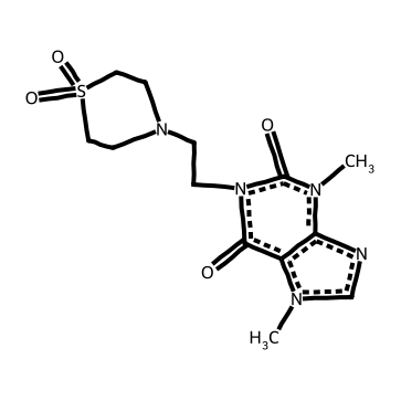 Cn1cnc2c1c(=O)n(CCN1CCS(=O)(=O)CC1)c(=O)n2C